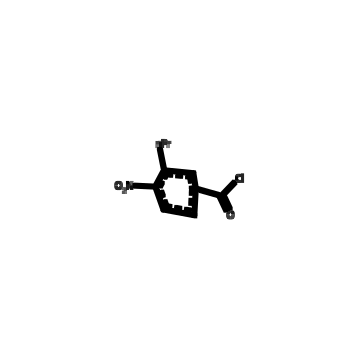 CCCc1cc(C(=O)Cl)ccc1[N+](=O)[O-]